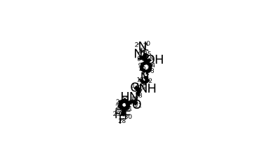 CN(C)c1ncc(C2(O)CCC(N3CC(NC(=O)CNC(=O)c4cccc(C(F)(F)F)c4)C3)CC2)s1